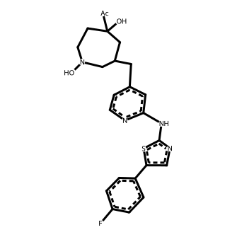 CC(=O)C1(O)CCN(O)CC(Cc2ccnc(Nc3ncc(-c4ccc(F)cc4)s3)c2)C1